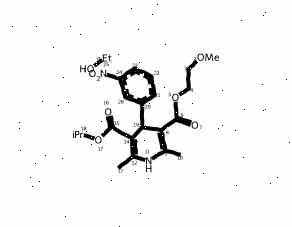 CCO.COCCOC(=O)C1=C(C)NC(C)=C(C(=O)OC(C)C)C1c1cccc([N+](=O)[O-])c1